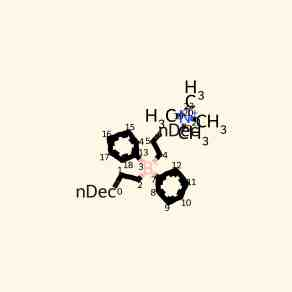 CCCCCCCCCCCC[B-](CCCCCCCCCCCC)(c1ccccc1)c1ccccc1.C[N+](C)(C)C